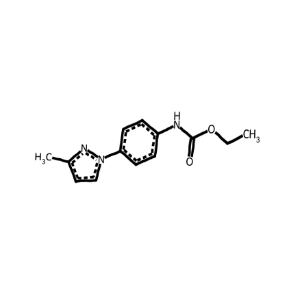 CCOC(=O)Nc1ccc(-n2ccc(C)n2)cc1